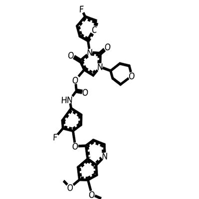 COc1cc2nccc(Oc3ccc(NC(=O)Oc4cn(C5CCOCC5)c(=O)n(-c5ccc(F)cc5)c4=O)cc3F)c2cc1OC